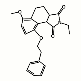 CCN1C(=O)C2CCc3c(OC)ccc(OCCc4ccccc4)c3C2C1=O